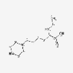 CCN[C@@H](CCCCN1CCNCC1)C(=O)O